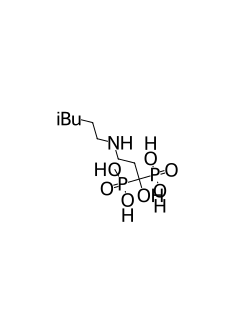 CCC(C)CCNCCC(O)(P(=O)(O)O)P(=O)(O)O